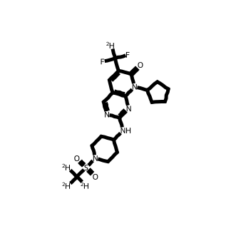 [2H]C(F)(F)c1cc2cnc(NC3CCN(S(=O)(=O)C([2H])([2H])[2H])CC3)nc2n(C2CCCC2)c1=O